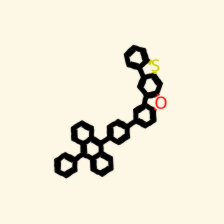 c1ccc(-c2c3ccccc3c(-c3ccc(-c4ccc5oc6cc7sc8ccccc8c7cc6c5c4)cc3)c3ccccc23)cc1